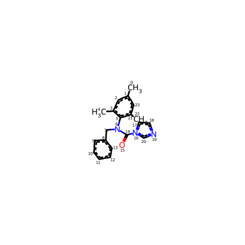 Cc1cc(C)c(N(Cc2ccccc2)C(=O)n2ccnc2)c(C)c1